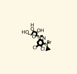 OC[C@H]1O[C@@H](n2cnc3c(N(Br)C4CC4)c(Cl)c(Cl)cc32)[C@H](O)[C@@H]1O